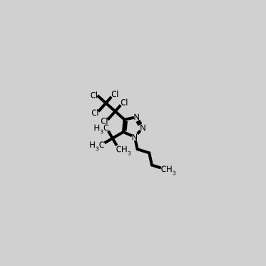 CCCCn1nnc(C(Cl)(Cl)C(Cl)(Cl)Cl)c1C(C)(C)C